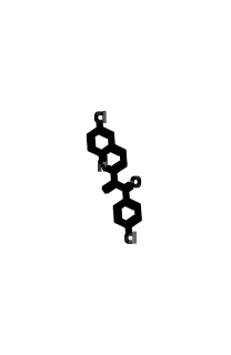 C=C(C(=O)c1ccc(Cl)cc1)c1ccc2cc(Cl)ccc2n1